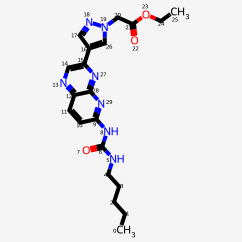 CCCCCNC(=O)Nc1ccc2ncc(-c3cnn(CC(=O)OCC)c3)nc2n1